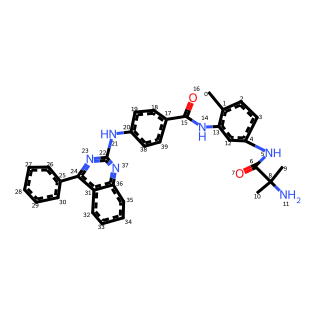 Cc1ccc(NC(=O)C(C)(C)N)cc1NC(=O)c1ccc(Nc2nc(-c3ccccc3)c3ccccc3n2)cc1